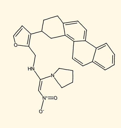 O=[N+]([O-])C=C(NCc1occc1C1CCc2ccc3c(ccc4ccccc43)c2C1)N1CCCC1